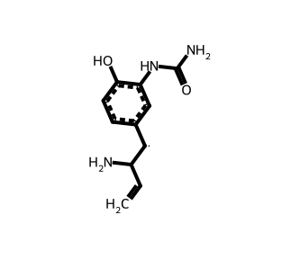 C=CC(N)[CH]c1ccc(O)c(NC(N)=O)c1